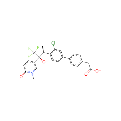 C[C@@H](c1ccc(-c2ccc(CC(=O)O)cc2)cc1Cl)[C@](O)(c1ccc(=O)n(C)c1)C(F)(F)F